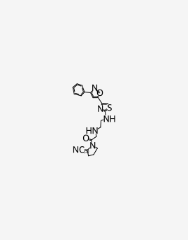 N#C[C@@H]1CCCN1C(=O)CNCCNc1nc(-c2cc(-c3ccccc3)no2)cs1